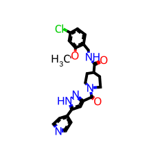 COc1cc(Cl)ccc1CNC(=O)C1CCN(C(=O)c2cc(-c3ccncc3)[nH]n2)CC1